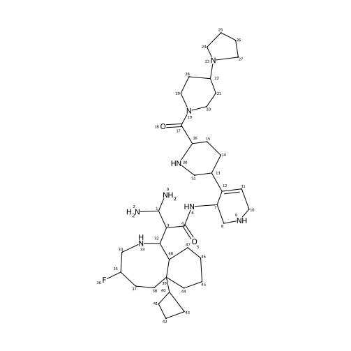 NC(N)C(C(=O)NC1CNCC=C1C1CCC(C(=O)N2CCC(N3CCCC3)CC2)NC1)C1NCC(F)CCC2(C3CCC3)CCCCC12